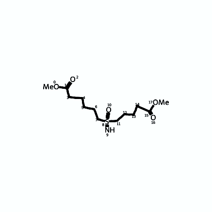 COC(=O)CCCCCS(=N)(=O)CCCCC(=O)OC